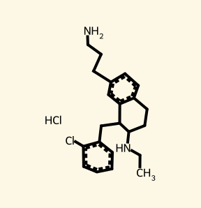 CCNC1CCc2ccc(CCCN)cc2C1Cc1ccccc1Cl.Cl